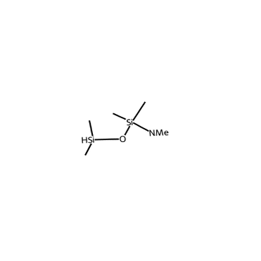 CN[Si](C)(C)O[SiH](C)C